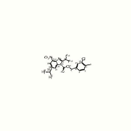 Cc1ccc(COC(=O)n2c(C(F)F)nc3c([N+](=O)[O-])cc(C(F)F)cc32)cc1Cl